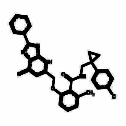 Cc1cccc(OCc2cc(=O)n3nc(-c4ccccc4)nc3[nH]2)c1C(=O)NCC1(c2ccc(Cl)cc2)CC1